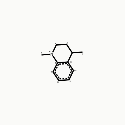 [CH2]C1CCN(C)c2ccccc21